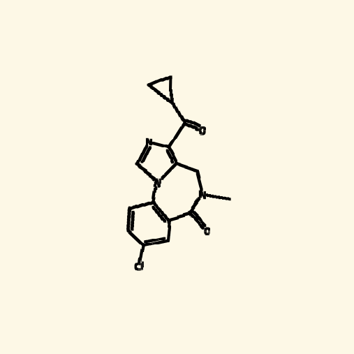 CN1Cc2c(C(=O)C3CC3)ncn2-c2ccc(Cl)cc2C1=O